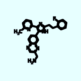 Cc1cccc(-c2nc(CCc3ccccc3F)[nH]c2-c2ccc3ncc(CN)nc3c2)n1